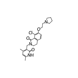 Cc1cc(C)c(CN2CCc3ccc(OCCN4CCCC4)c(Cl)c3C2=O)c(=O)[nH]1